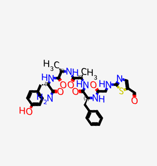 C[C@H](NC(=O)[C@H](C)NC(=O)[C@H](Cc1ccccc1)NC(=O)CNc1ncc(C=O)s1)C(=O)N[C@@H](Cc1ccc(O)cc1)C(N)=O